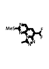 CSc1ncc2cc(C(F)F)c3nnc(C)n3c2n1